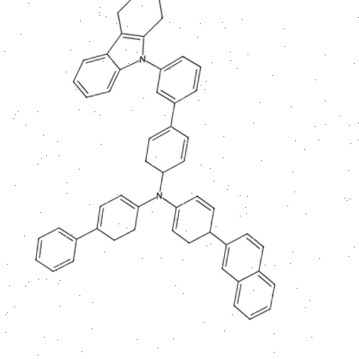 C1=CC(N(C2=CCC(c3ccc4ccccc4c3)C=C2)C2=CC=C(c3ccccc3)CC2)CC=C1c1cccc(-n2c3c(c4ccccc42)CCCC3)c1